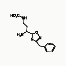 NC(CCNC(=O)O)c1nc(Cc2ccccc2)no1